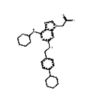 O=C(O)Cn1cnc2c(NC3CCCCC3)nc(NCc3ccc(C4CCCCC4)cc3)nc21